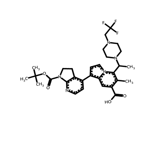 Cc1c(C(=O)O)cc2c(-c3ccnc4c3CCN4C(=O)OC(C)(C)C)ccn2c1C(C)N1CCN(CC(F)(F)F)CC1